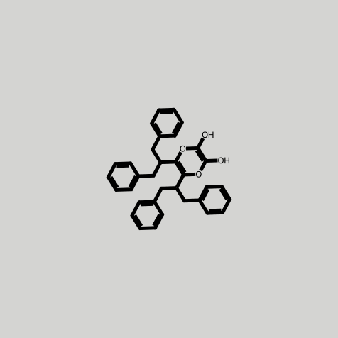 OC1=C(O)OC(C(Cc2ccccc2)Cc2ccccc2)=C(C(Cc2ccccc2)Cc2ccccc2)O1